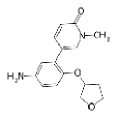 Cn1cc(-c2cc(N)ccc2OC2CCOC2)ccc1=O